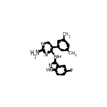 Cc1cc(C)cc(-c2cnc(N)nc2Nc2n[nH]c3ccc(F)cc23)c1